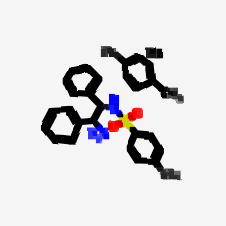 CC(C)(C)c1ccc(S(=O)(=O)N[C@@H](c2ccccc2)[C@@H](N)c2ccccc2)cc1.Cc1ccc(C(C)C)cc1.[Ru]